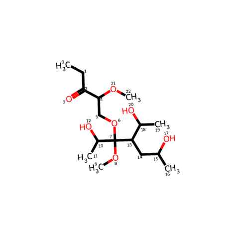 CCC(=O)C(COC(OC)(C(C)O)C(CC(C)O)C(C)O)OC